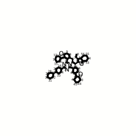 C=Cc1c(/C=C\Cc2ccc3oc4ccccc4c3c2-c2nc(-c3ccc(-c4ccccc4)cc3)nc(-c3ccc4oc5ccccc5c4c3)n2)oc2ccccc12